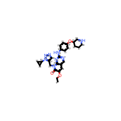 CCOc1cc2cnc(Nc3ccc(OC4CCCNC4)cc3)nc2n(Cc2cnnn2C2CC2)c1=O